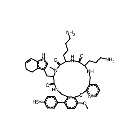 COc1ccc(-c2ccc(S)cc2)c2c1Sc1ncccc1CNC(CCCN)C(=O)NC(CCCCN)C(=O)N(C)C(Cc1c[nH]c3c1CCC=C3)C(=O)NC2